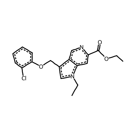 CCOC(=O)c1cc2c(cn1)c(COc1ccccc1Cl)cn2CC